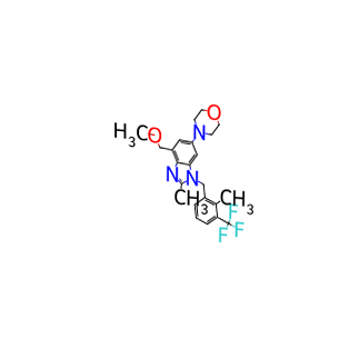 COCc1cc(N2CCOCC2)cc2c1nc(C)n2Cc1cccc(C(F)(F)F)c1C